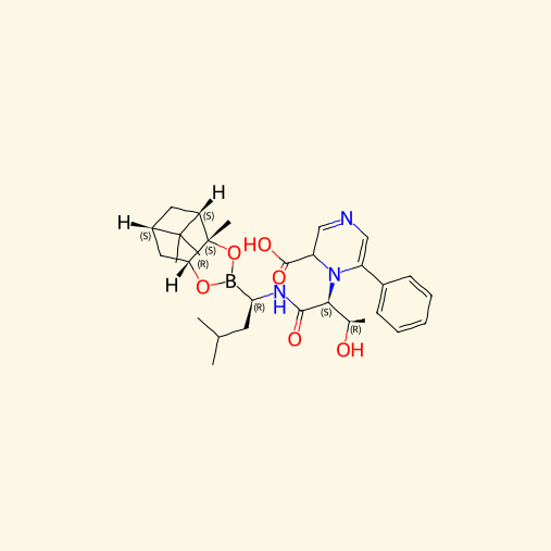 CC(C)C[C@H](NC(=O)[C@H]([C@@H](C)O)N1C(c2ccccc2)=CN=CC1C(=O)O)B1O[C@@H]2C[C@@H]3C[C@@H](C3(C)C)[C@]2(C)O1